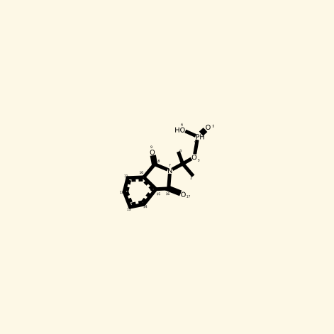 CC(C)(O[PH](=O)O)N1C(=O)c2ccccc2C1=O